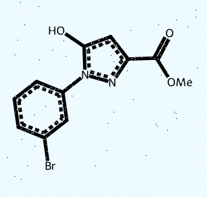 COC(=O)c1cc(O)n(-c2cccc(Br)c2)n1